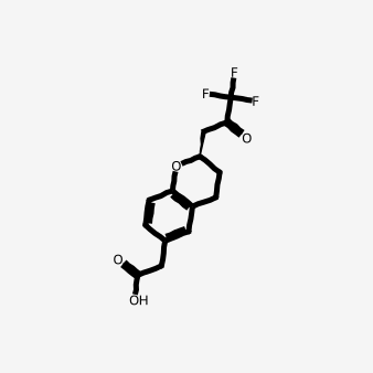 O=C(O)Cc1ccc2c(c1)CC[C@H](CC(=O)C(F)(F)F)O2